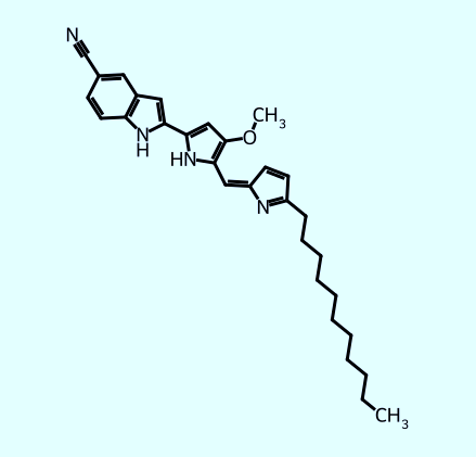 CCCCCCCCCCCC1=N/C(=C/c2[nH]c(-c3cc4cc(C#N)ccc4[nH]3)cc2OC)C=C1